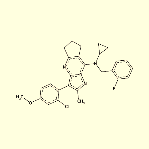 COc1ccc(-c2c(C)nn3c(N(Cc4ccccc4F)C4CC4)c4c(nc23)CCC4)c(Cl)c1